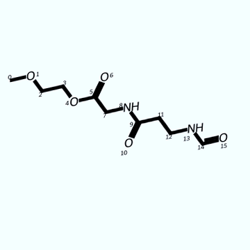 COCCOC(=O)CNC(=O)CCNC=O